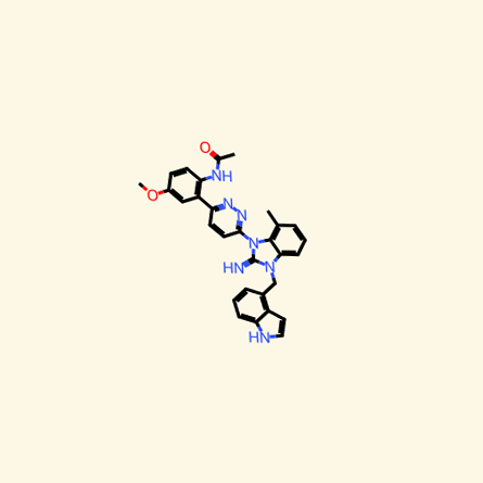 COc1ccc(NC(C)=O)c(-c2ccc(-n3c(=N)n(Cc4cccc5[nH]ccc45)c4cccc(C)c43)nn2)c1